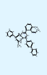 C/C=C\c1c(C)cccc1C(=N/C)/N=C(/c1ccc(-c2ccccc2)cc1)C1CC=C(c2cccnc2)C=C(C)N1